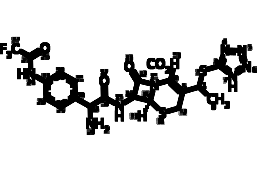 CC(Sc1nnn[nH]1)C1=C(C(=O)O)N2C(=O)C(NC(=O)C(N)c3ccc(NC(=O)C(F)(F)F)cc3)[C@@H]2SC1